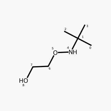 CC(C)(C)NOCCO